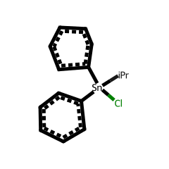 C[CH](C)[Sn]([Cl])([c]1ccccc1)[c]1ccccc1